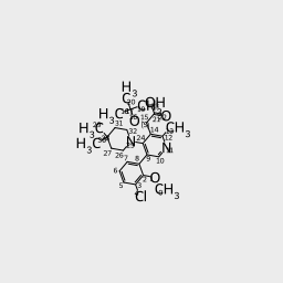 COc1c(Cl)cccc1-c1cnc(C)c([C@H](OC(C)(C)C)C(=O)O)c1N1CCC(C)(C)CC1